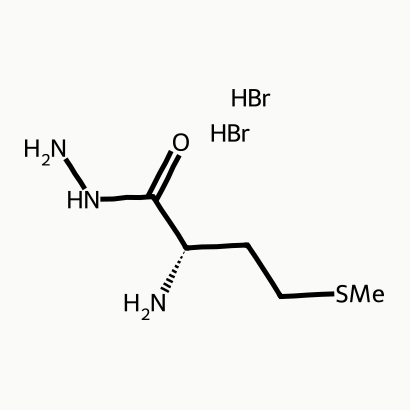 Br.Br.CSCC[C@H](N)C(=O)NN